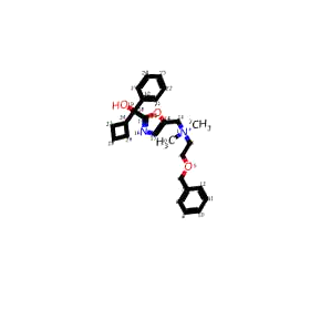 C[N+](C)(CCOCc1ccccc1)Cc1cnc(C(O)(c2ccccc2)C2CCC2)o1